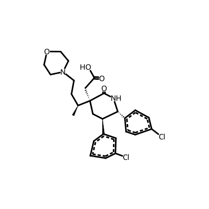 C[C@@H](CCN1CCOCC1)[C@]1(CC(=O)O)C[C@H](c2cccc(Cl)c2)[C@@H](c2ccc(Cl)cc2)NC1=O